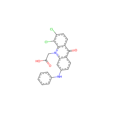 O=C(O)Cn1c2cc(Nc3ccccc3)ccc2c(=O)c2ccc(Cl)c(Cl)c21